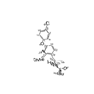 COc1nc(Oc2ccc(Cl)cc2)ccc1[C@H](C)N[S@+]([O-])C(C)(C)C